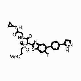 COCCS(=O)(=O)C(C(=O)NCC(=O)NC1CC1)c1nc2cc(-c3ccc(-c4ccn[nH]4)cc3)c(F)cc2s1